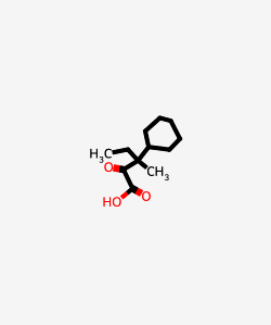 CCC(C)(C(=O)C(=O)O)C1CCCCC1